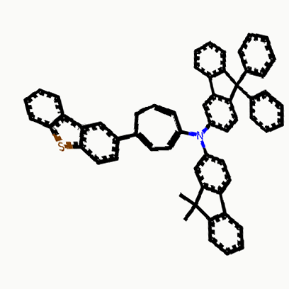 CC1(C)c2ccccc2-c2ccc(N(C3=CC=C(c4ccc5sc6ccccc6c5c4)CC=C3)c3ccc4c(c3)-c3ccccc3C4(c3ccccc3)c3ccccc3)cc21